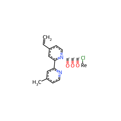 C=Cc1ccnc(-c2cc(C)ccn2)c1.[C]=O.[C]=O.[C]=O.[Cl][Re]